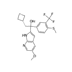 COc1cnc2[nH]c(C(O)(CC3CCC3)c3ccc(SC)c(C(F)(F)F)c3)cc2c1